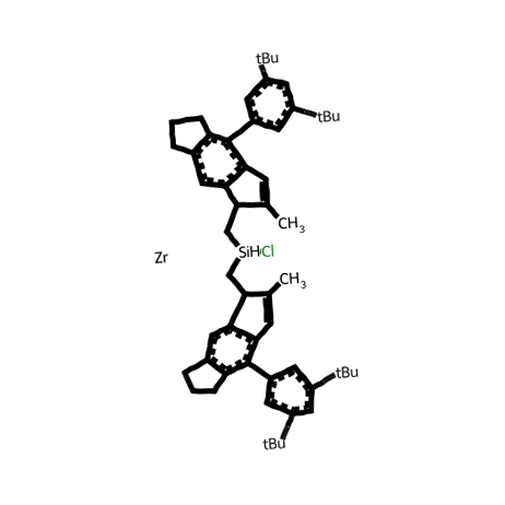 CC1=Cc2c(cc3c(c2-c2cc(C(C)(C)C)cc(C(C)(C)C)c2)CCC3)C1C[SiH](Cl)CC1C(C)=Cc2c1cc1c(c2-c2cc(C(C)(C)C)cc(C(C)(C)C)c2)CCC1.[Zr]